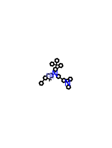 CC1(C)/C=C/C(N(c2ccc(-c3ccc4c(c3)c3ccccc3n4-c3ccccc3)cc2)c2ccc3c(c2)-c2ccccc2C3(c2ccccc2)c2ccccc2)=C\C=C\c2ccc(-c3ccccc3)cc21